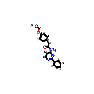 O=C(Cc1ccc(OCC(F)(F)F)cc1)Nc1ccnc(-c2ccccc2)n1